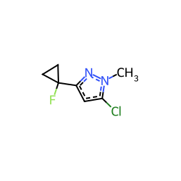 Cn1nc(C2(F)CC2)cc1Cl